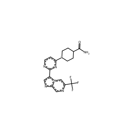 NC(=O)C1CCN(c2ccnc(-c3cnc4cnc(C(F)(F)F)cn34)n2)CC1